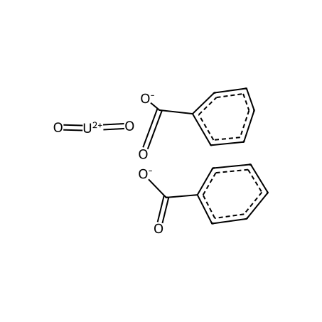 O=C([O-])c1ccccc1.O=C([O-])c1ccccc1.[O]=[U+2]=[O]